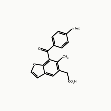 CCCCCCc1ccc(C(=O)c2c(C)c(CC(=O)O)cc3ccoc23)cc1